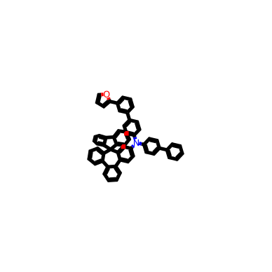 c1ccc(-c2ccc(N(c3ccc(-c4cccc(-c5ccco5)c4)cc3)c3ccc4c(c3)C3(c5ccccc5-c5ccccc5-4)c4ccccc4-c4ccccc43)cc2)cc1